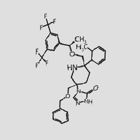 CC1C=CC=CC1[C@]1(CO[C@H](C)c2cc(C(F)(F)F)cc(C(F)(F)F)c2)CC[C@](COCc2ccccc2)(n2cn[nH]c2=O)CN1